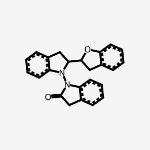 O=C1Cc2ccccc2N1N1c2ccccc2CC1C1Cc2ccccc2O1